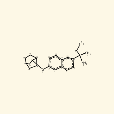 C[C@](N)(CO)c1ccc2cc(OC3CC4CCC3CC4)ccc2c1